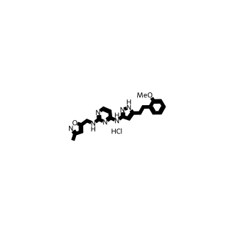 COc1ccccc1CCc1cc(Nc2ccnc(NCc3cc(C)no3)n2)n[nH]1.Cl